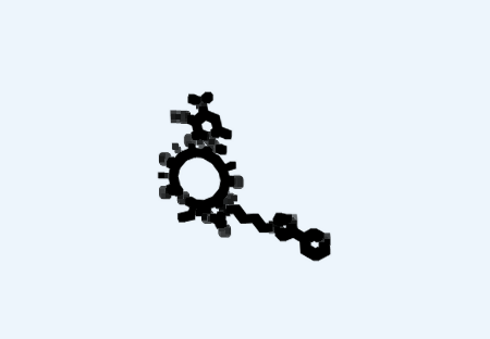 CC[C@H]1OC(=O)[C@H](C)C(=O)[C@H](C)[C@@H](OC2OC(C)CC(N(C)C)C2O)[C@@](C)(OC)C[C@@H](C)C(=O)[C@H](C)[C@H]2N(CCCCn3cnc(-c4cccnc4)c3)C(=O)O[C@]12C